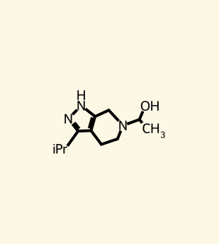 CC(C)c1n[nH]c2c1CCN(C(C)O)C2